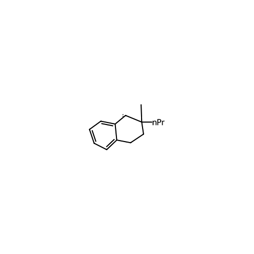 CCCC1(C)[C]c2ccccc2CC1